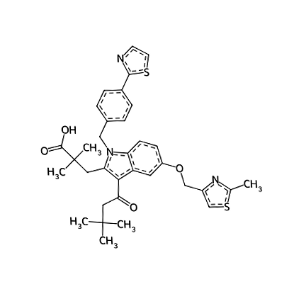 Cc1nc(COc2ccc3c(c2)c(C(=O)CC(C)(C)C)c(CC(C)(C)C(=O)O)n3Cc2ccc(-c3nccs3)cc2)cs1